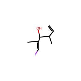 C=CC(C)C(O)C(C)=CI